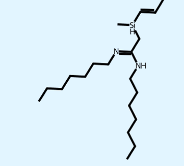 CC=C[SiH](C)CC(=NCCCCCCC)NCCCCCCC